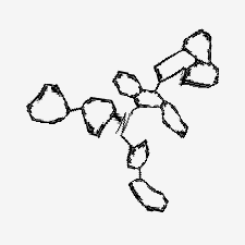 C1=C(c2c3ccccc3c(N(c3ccc(-c4ccccc4)cc3)c3ccc(-c4ccccc4)cc3)c3ccccc23)c2cccc3cccc1c23